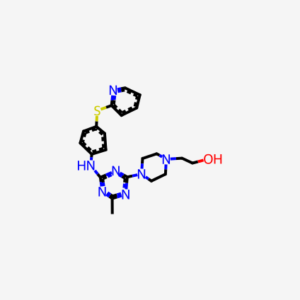 Cc1nc(Nc2ccc(Sc3ccccn3)cc2)nc(N2CCN(CCO)CC2)n1